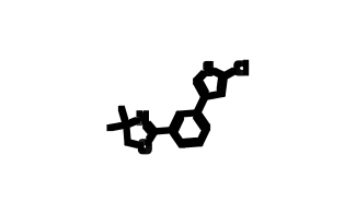 CC1(C)COC(c2cccc(-c3csc(Cl)c3)c2)=N1